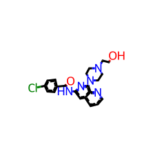 O=C(Nc1cc2cccnc2c(N2CCN(CCO)CC2)n1)c1ccc(Cl)cc1